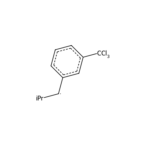 CC(C)[CH]c1cccc(C(Cl)(Cl)Cl)c1